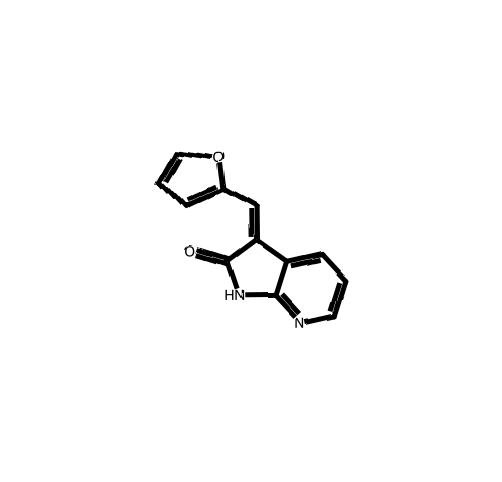 O=C1Nc2ncccc2/C1=C/c1ccco1